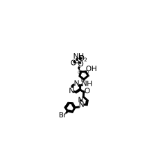 NS(=O)(=O)OC[C@@H]1C[C@@H](Nc2ncncc2C(=O)c2ccn(Cc3cccc(Br)c3)n2)C[C@@H]1O